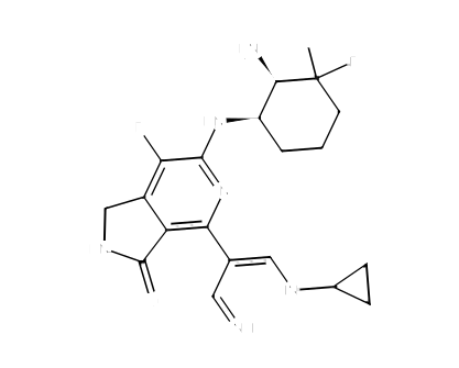 N=C/C(=C\NC1CC1)c1nc(N[C@@H]2CCCC(F)(F)[C@@H]2N)c(F)c2c1C(=O)NC2